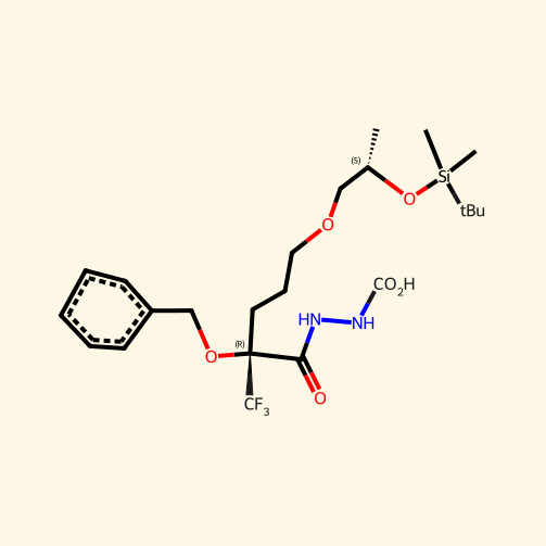 C[C@@H](COCCC[C@@](OCc1ccccc1)(C(=O)NNC(=O)O)C(F)(F)F)O[Si](C)(C)C(C)(C)C